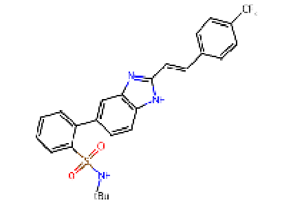 CC(C)(C)NS(=O)(=O)c1ccccc1-c1ccc2[nH]c(C=Cc3ccc(C(F)(F)F)cc3)nc2c1